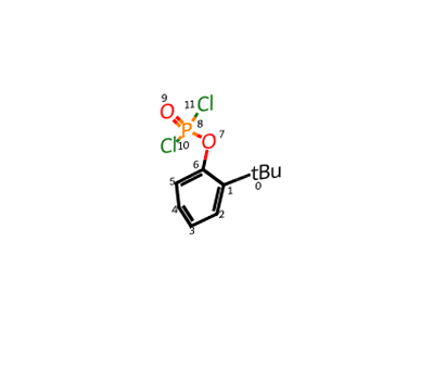 CC(C)(C)c1ccccc1OP(=O)(Cl)Cl